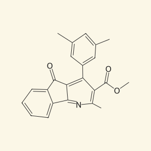 COC(=O)c1c(C)nc2c(c1-c1cc(C)cc(C)c1)C(=O)c1ccccc1-2